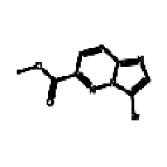 COC(=O)c1ccc2ncc(Br)n2n1